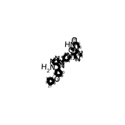 Nc1ncnc2c1c(-c1ccc(Oc3ccccc3)cc1)nn2C1CCN(Cc2cncnc2N2CCC(=O)NC2=O)CC1